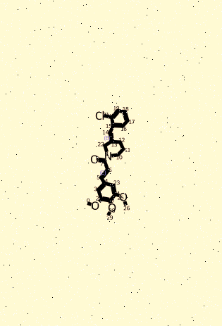 COc1cc(/C=C/C(=O)N2CCC/C(=C\c3ccccc3Cl)C2)cc(OC)c1OC